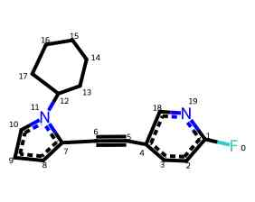 Fc1ccc(C#Cc2cccn2C2CCCCC2)cn1